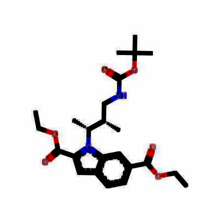 CCOC(=O)c1ccc2cc(C(=O)OCC)n([C@H](C)[C@@H](C)CNC(=O)OC(C)(C)C)c2c1